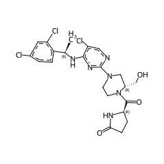 C[C@@H](Nc1nc(N2CCN(C(=O)[C@H]3CCC(=O)N3)[C@@H](CO)C2)ncc1Cl)c1ccc(Cl)cc1Cl